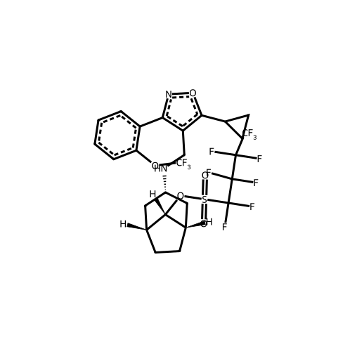 O=S(=O)(O[C@H]1[C@@H]2CC[C@H]1C[C@@H](NCc1c(-c3ccccc3OC(F)(F)F)noc1C1CC1)C2)C(F)(F)C(F)(F)C(F)(F)C(F)(F)F